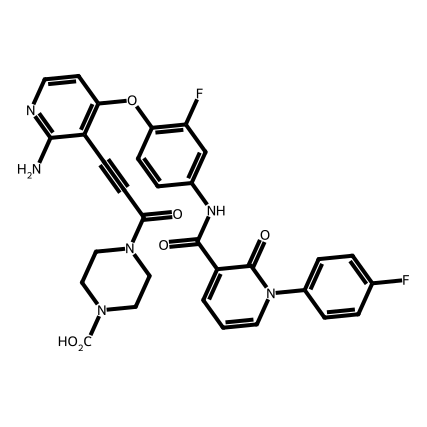 Nc1nccc(Oc2ccc(NC(=O)c3cccn(-c4ccc(F)cc4)c3=O)cc2F)c1C#CC(=O)N1CCN(C(=O)O)CC1